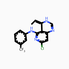 C/C=C1/NC=Nc2cc(Cl)nc(Nc3cccc(C(F)(F)F)c3)c21